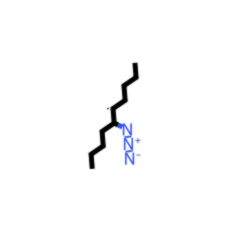 CCCC[CH]C(CCCC)N=[N+]=[N-]